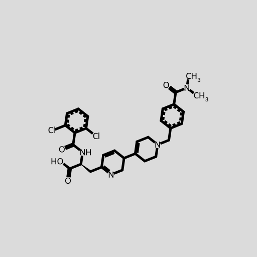 CN(C)C(=O)c1ccc(CN2CC=C(C3C=CC(C[C@H](NC(=O)c4c(Cl)cccc4Cl)C(=O)O)=NC3)CC2)cc1